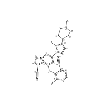 Cc1c(-c2cc(Sc3c(F)cccc3C#N)c3c(C#N)cnn3c2)cnn1C1CCN(C)CC1